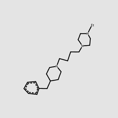 CCN1CCN(CCCCN2CCC(Cc3ccccc3)CC2)CC1